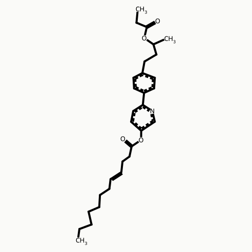 CCCCCCC/C=C/CCC(=O)Oc1ccc(-c2ccc(CCC(C)OC(=O)CC)cc2)nc1